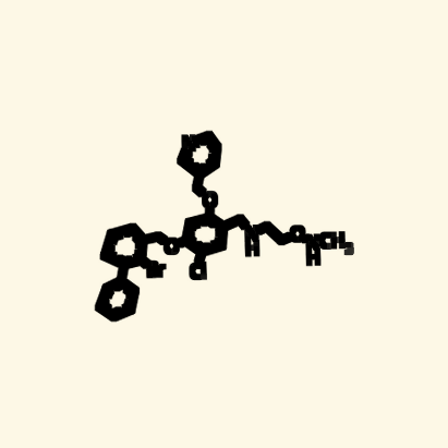 CNOCCNCc1cc(Cl)c(OCc2cccc(-c3ccccc3)c2Br)cc1OCc1cccnc1